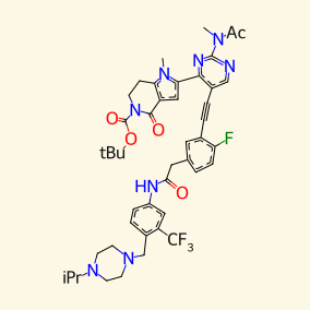 CC(=O)N(C)c1ncc(C#Cc2cc(CC(=O)Nc3ccc(CN4CCN(C(C)C)CC4)c(C(F)(F)F)c3)ccc2F)c(-c2cc3c(n2C)CCN(C(=O)OC(C)(C)C)C3=O)n1